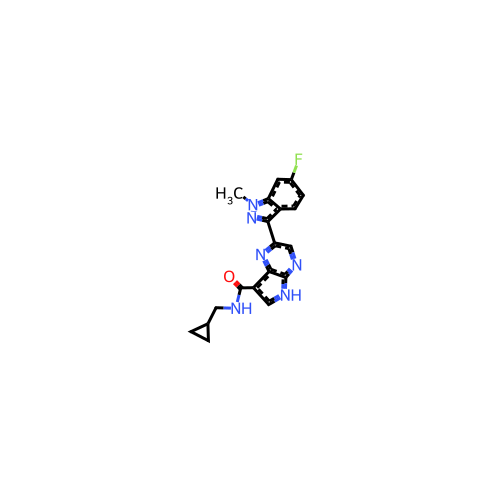 Cn1nc(-c2cnc3[nH]cc(C(=O)NCC4CC4)c3n2)c2ccc(F)cc21